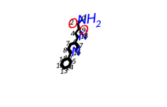 NC(=O)C1CC(c2ccc(-c3ccccc3)nc2)=NO1